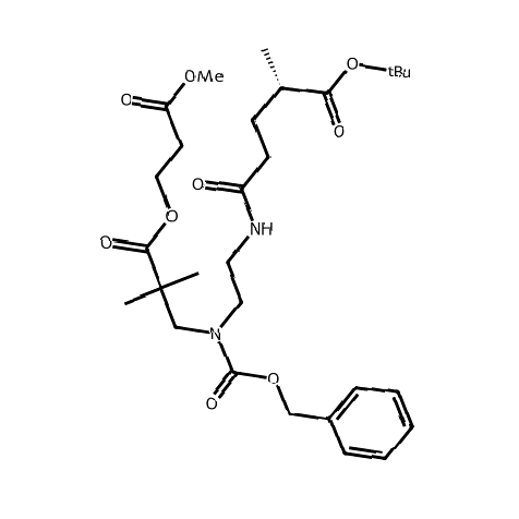 COC(=O)CCOC(=O)C(C)(C)CN(CCNC(=O)CC[C@H](C)C(=O)OC(C)(C)C)C(=O)OCc1ccccc1